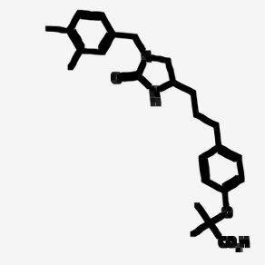 Cc1ccc(CN2CC(CCCc3ccc(OC(C)(C)C(=O)O)cc3)NC2=O)cc1C